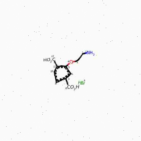 Br.NCCOc1cc(C(=O)O)ccc1C(=O)O